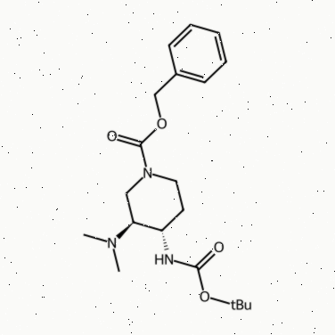 CN(C)[C@H]1CN(C(=O)OCc2ccccc2)CC[C@@H]1NC(=O)OC(C)(C)C